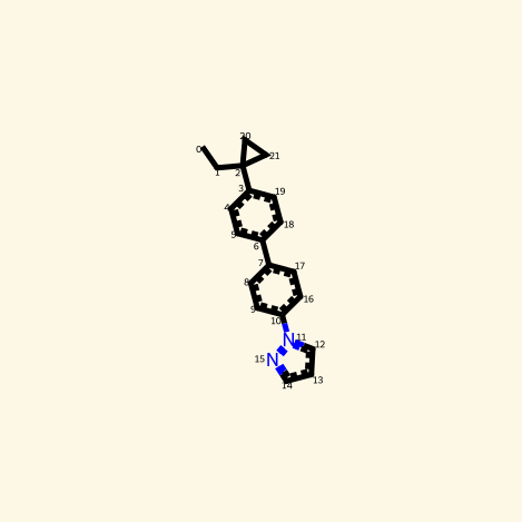 CCC1(c2ccc(-c3ccc(-n4cccn4)cc3)cc2)CC1